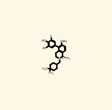 COc1ccc2c(c1-c1cc(F)c(O)c(C(C)C)c1)CCN(CC1CCC(C)(C)CC1)[C@@H]2C